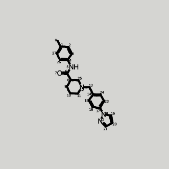 Cc1ccc(NC(=O)C2CCCN(Cc3ccc(-n4cccn4)cc3)C2)cc1